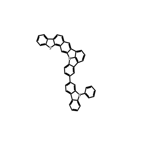 c1ccc(-n2c3ccccc3c3ccc(-c4ccc5c(c4)c4cccc6c7cc8ccc9c%10ccccc%10sc9c8cc7n5c46)cc32)cc1